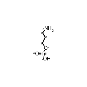 NCCC[O][Ti](=[O])[OH]